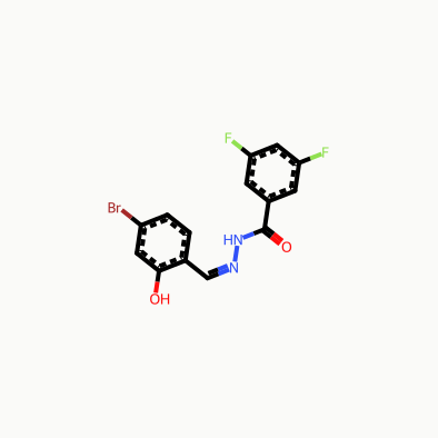 O=C(N/N=C\c1ccc(Br)cc1O)c1cc(F)cc(F)c1